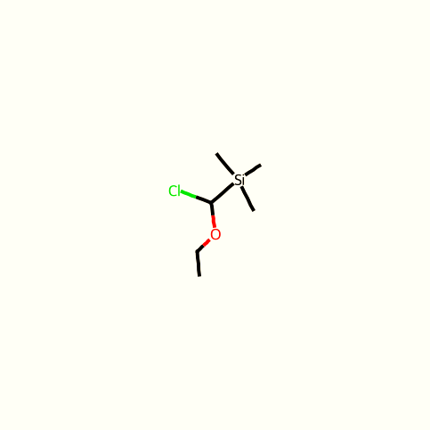 CCOC(Cl)[Si](C)(C)C